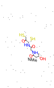 CN[C@H](C(=O)NCC(=O)N[C@@H](CS)C(=O)CS)[C@@H](C)O